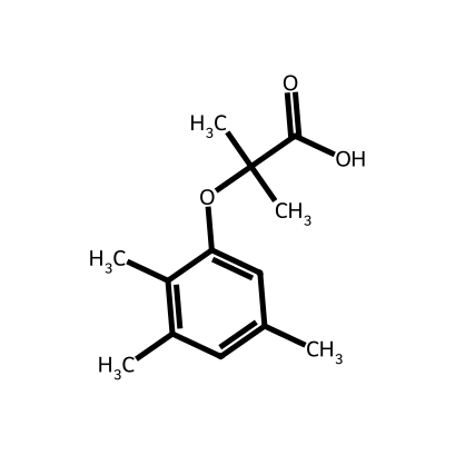 Cc1cc(C)c(C)c(OC(C)(C)C(=O)O)c1